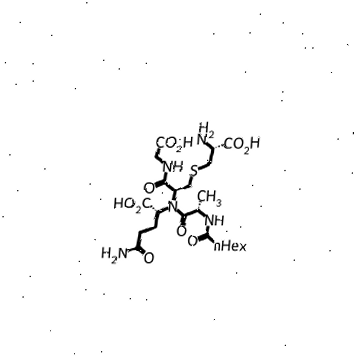 CCCCCCC(=O)N[C@@H](C)C(=O)N([C@H](CCC(N)=O)C(=O)O)[C@H](CSC[C@H](N)C(=O)O)C(=O)NCC(=O)O